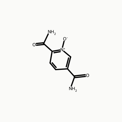 NC(=O)c1ccc(C(N)=O)[n+]([O-])c1